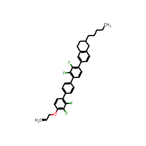 C=CCOc1ccc(-c2ccc(-c3ccc(-c4ccc5c(c4)CCC(CCCCC)C5)c(F)c3F)cc2)c(F)c1F